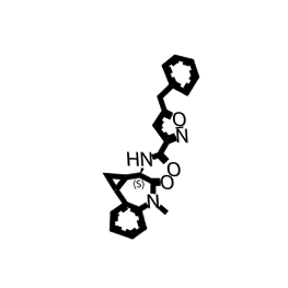 CN1C(=O)[C@@H](NC(=O)c2cc(Cc3ccccc3)on2)C2CC2c2ccccc21